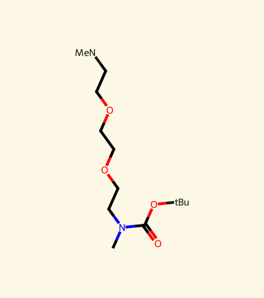 CNCCOCCOCCN(C)C(=O)OC(C)(C)C